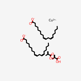 C=C(C)C(=O)O.C=C(C)C(=O)O.CCCCC/C=C\C/C=C\CCCCCCCC(=O)[O-].CCCCC/C=C\C/C=C\CCCCCCCC(=O)[O-].[Cu+2]